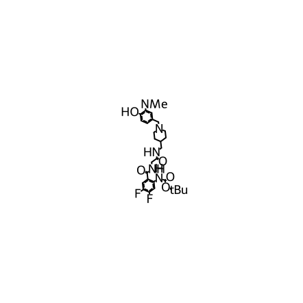 CNc1cc(CN2CCC(CNC(=O)CNC(=O)c3cc(F)c(F)cc3NC(=O)OC(C)(C)C)CC2)ccc1O